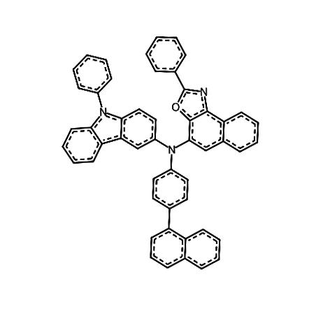 c1ccc(-c2nc3c(o2)c(N(c2ccc(-c4cccc5ccccc45)cc2)c2ccc4c(c2)c2ccccc2n4-c2ccccc2)cc2ccccc23)cc1